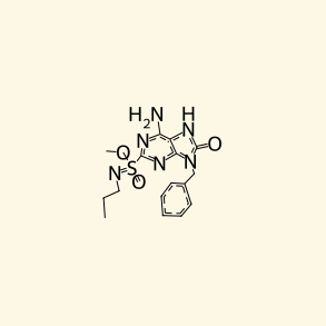 CCCN=S(=O)(OC)c1nc(N)c2[nH]c(=O)n(Cc3ccccc3)c2n1